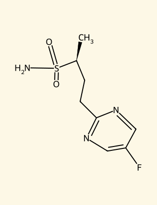 C[C@@H](CCc1ncc(F)cn1)S(N)(=O)=O